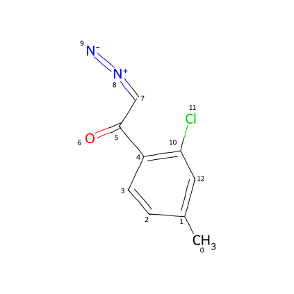 Cc1ccc(C(=O)C=[N+]=[N-])c(Cl)c1